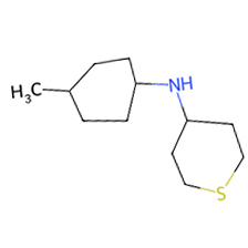 CC1CCC(NC2CCSCC2)CC1